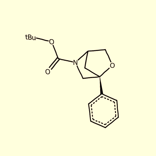 CC(C)(C)OC(=O)N1C[C@]2(c3ccccc3)CC1CO2